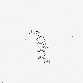 CN1CCN(NC(=O)CC(=O)O)CC1